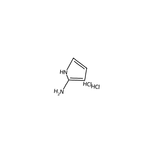 Cl.Cl.Nc1ccc[nH]1